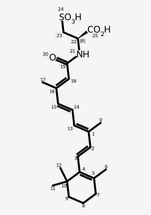 CC(C=CC1=C(C)CCCC1(C)C)=CC=CC(C)=CC(=O)N[C@@H](CS(=O)(=O)O)C(=O)O